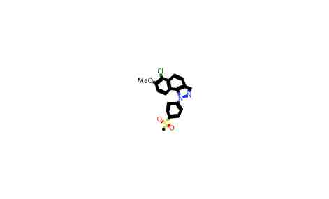 COc1ccc2c(ccc3cnn(-c4ccc(S(C)(=O)=O)cc4)c32)c1Cl